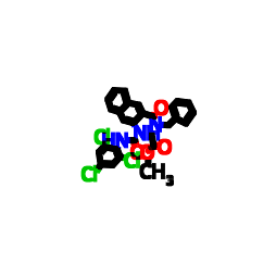 CCOC(=O)CN(Cc1ccccc1)C(=O)c1cc2ccccc2cc1NC(=O)Nc1c(Cl)cc(Cl)cc1Cl